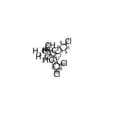 C/C(=C\c1ccc(Cl)cc1)C(O)(Cc1ccc(Cl)cc1Cl)C(C)CN(C)C